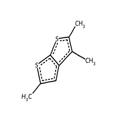 Cc1cc2c(C)c(C)sc2s1